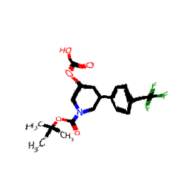 CC(C)(C)OC(=O)N1CC(OC(=O)O)CC(c2ccc(C(F)(F)F)cc2)C1